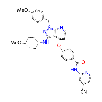 COc1ccc(Cn2nc(NC3CCC(OC)CC3)c3c(Oc4ccc(C(=O)Nc5cc(C#N)ccn5)cc4)ccnc32)cc1